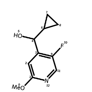 COc1cc(C(O)C2CC2)c(F)cn1